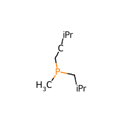 CC(C)CCP(C)CC(C)C